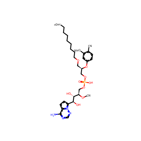 CCCCCCCCCCCCCCCCCCOC[C@H](COP(=O)(O)OC[C@@H](OC#N)[C@@H](O)[C@@H](O)c1ccc2c(N)ncnn12)Oc1ccc(C#N)c(OC)c1